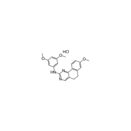 COc1cc(Nc2ncc3c(n2)-c2ccc(OC)cc2CC3)cc(OC)c1.Cl